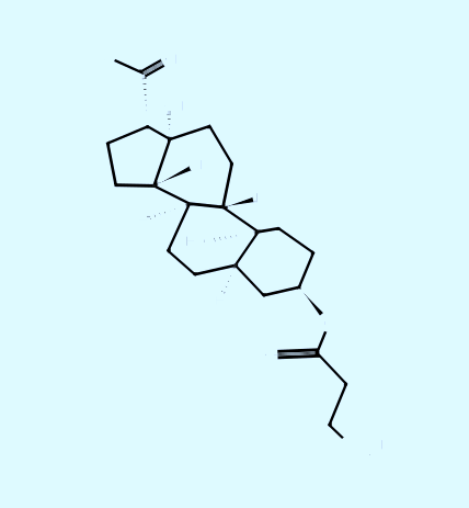 C=C(C)[C@H]1CC[C@H]2[C@@H]3CC[C@@H]4C[C@H](OC(=O)CCC(=O)O)CC[C@]4(C)[C@H]3CC[C@]12C